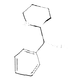 C[C@H](c1ccccc1)[C@@H]1CCCCN1